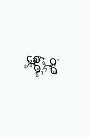 C=C.CCC(=O)[O-].CCC(=O)[O-].[Ca+2]